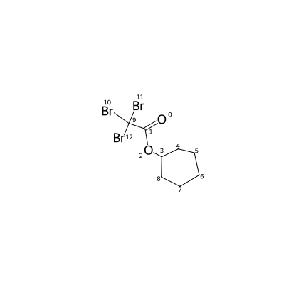 O=C(OC1CCCCC1)C(Br)(Br)Br